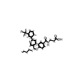 CCCCC[C@@H](Oc1ccc(C(=O)NCCC(=O)O)cc1)c1ccc(-c2cccc(C(F)(F)F)c2)nc1